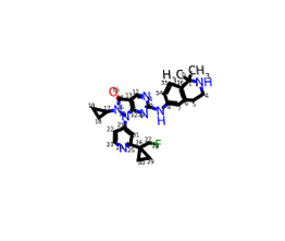 CC1(C)NCCc2cc(Nc3ncc4c(=O)n(C5CC5)n(-c5ccnc(C6(CF)CC6)c5)c4n3)ccc21